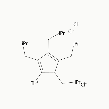 CC(C)CC1=[C]([Ti+3])C(CC(C)C)C(CC(C)C)=C1CC(C)C.[Cl-].[Cl-].[Cl-]